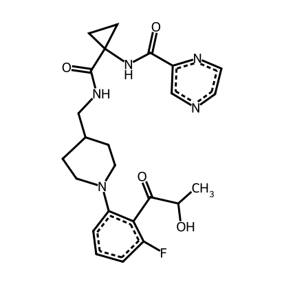 CC(O)C(=O)c1c(F)cccc1N1CCC(CNC(=O)C2(NC(=O)c3cnccn3)CC2)CC1